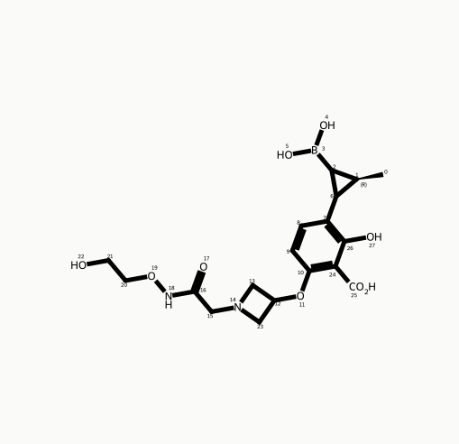 C[C@@H]1C(B(O)O)C1c1ccc(OC2CN(CC(=O)NOCCO)C2)c(C(=O)O)c1O